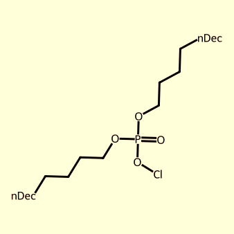 CCCCCCCCCCCCCCOP(=O)(OCl)OCCCCCCCCCCCCCC